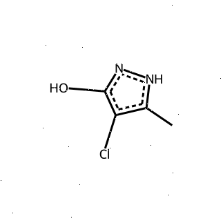 Cc1[nH]nc(O)c1Cl